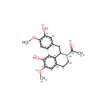 COc1ccc(CC2c3cc(O)c(OC)cc3CCN2C(C)=O)cc1O